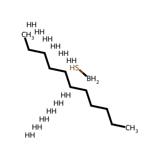 BS.CCCCCCCCCCC.[HH].[HH].[HH].[HH].[HH].[HH].[HH].[HH].[HH].[HH].[HH].[HH]